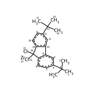 CC(C)(C)c1ccc2c(c1)-c1cc(C(C)(C)C)ccc1C2(Cl)Cl.[Zr]